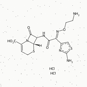 Cl.Cl.NCCON=C(C(=O)NC1C(=O)N2C(C(=O)O)=CCS[C@@H]12)c1csc(N)n1